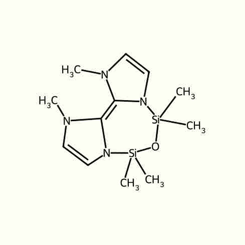 CN1C=CN2C1=C1N(C)C=CN1[Si](C)(C)O[Si]2(C)C